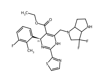 CCOC(=O)C1=C(CN2CC(F)(F)C3NCCC32)NC(c2nccs2)=N[C@H]1c1cccc(F)c1C